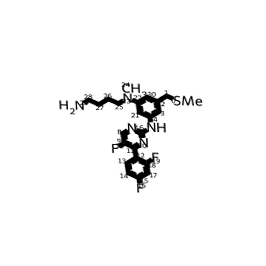 CSCc1cc(Nc2ncc(F)c(-c3ccc(F)cc3F)n2)cc(N(C)CCCCN)c1